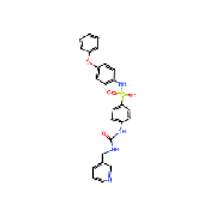 O=C(NCc1cccnc1)Nc1ccc(S(=O)(=O)Nc2ccc(Oc3ccccc3)cc2)cc1